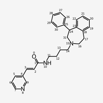 O=C(C=Cc1cccnc1)NCCCCN1CCc2ccccc2C(c2ccccc2)C1